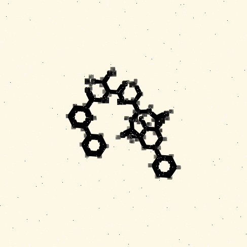 CC(C)C[C@H](NC(=O)[C@@H](NC(=O)c1cccc(-c2ccccc2)n1)[C@@H](C)O)B1OC(=O)[C@@H]2CN(c3ccccc3)C[C@@H](C(=O)O1)N2C